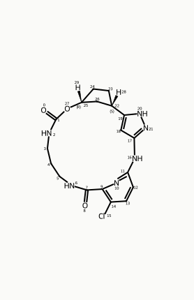 O=C1NCCCNC(=O)c2nc(ccc2Cl)Nc2cc([nH]n2)[C@H]2CC[C@H](C2)O1